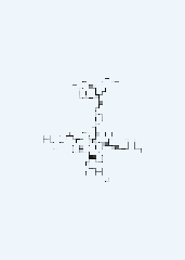 C=CC(=O)OC(CCOCCC(CO)(CO)CO)(OC(=O)C=C)OC(=O)C=C